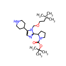 CC(C)(C)OC(=O)N1CCCC1c1ncc(C2CCNCC2)n1COCC[Si](C)(C)C